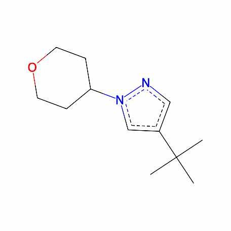 CC(C)(C)c1cnn(C2CCOCC2)c1